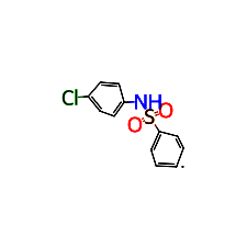 O=S(=O)(Nc1ccc(Cl)cc1)c1cc[c]cc1